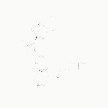 COc1c(Cl)cc([C@H]2[C@H](C(=O)Nc3ccc(Cl)c(C(=O)NCCC(F)(F)F)c3)C2(Cl)Cl)cc1Cl